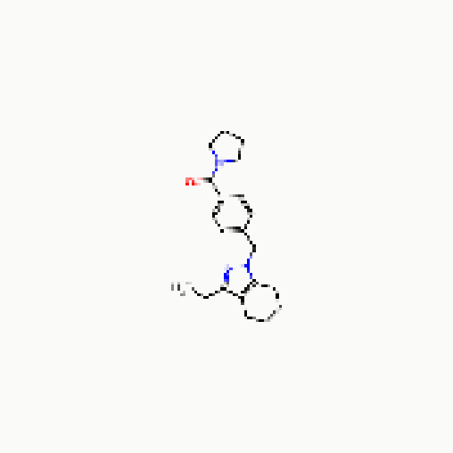 CCc1nn(Cc2ccc(C(=O)N3CCCC3)cc2)c2c1CCCC2